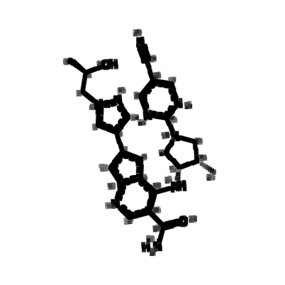 C[C@@H](O)Cn1cc(-c2cc3c(N[C@@H]4CN(c5ncc(C#N)cn5)C[C@@H]4C)c(C(N)=O)cnn3c2)cn1